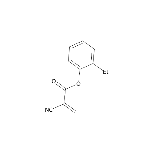 C=C(C#N)C(=O)Oc1ccccc1CC